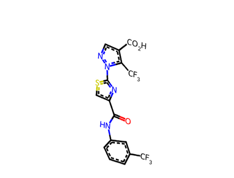 O=C(Nc1cccc(C(F)(F)F)c1)c1csc(-n2ncc(C(=O)O)c2C(F)(F)F)n1